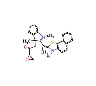 CCN1/C(=C(\C)C2=[N+](C)c3ccccc3C2(C)CC(=O)C2CO2)Sc2c1ccc1ccccc21